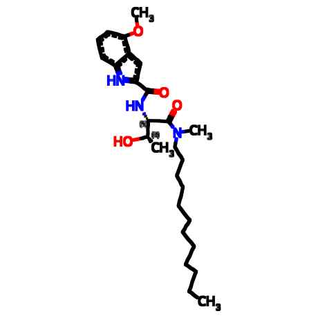 CCCCCCCCCCCCN(C)C(=O)[C@@H](NC(=O)c1cc2c(OC)cccc2[nH]1)[C@@H](C)O